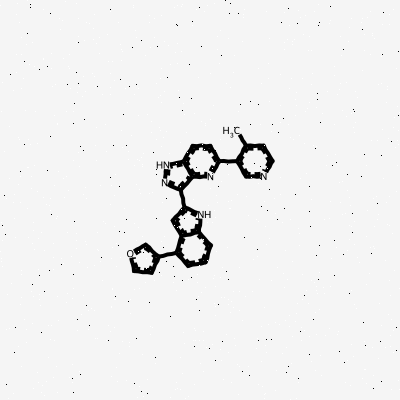 Cc1ccncc1-c1ccc2[nH]nc(-c3cc4c(-c5ccoc5)cccc4[nH]3)c2n1